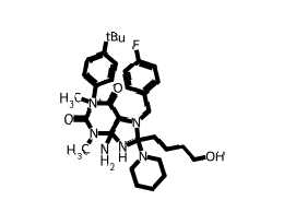 CN1C(=O)[N+](C)(c2ccc(C(C)(C)C)cc2)C(=O)C2N(Cc3ccc(F)cc3)C(CCCCO)(N3CCCCC3)NC21N